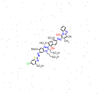 COc1cc(N=Nc2c(S(=O)(=O)O)cc3c(S(=O)(=O)O)c(N=Nc4c(C)c(C#N)c5nc6ccccc6n5c4O)ccc3c2O)c(N(CCCS(=O)(=O)O)CCCS(=O)(=O)O)cc1N=Nc1nc2c(S(=O)(=O)O)cc(Cl)cc2s1